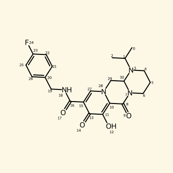 CC(C)N1CCCN2C(=O)c3c(O)c(=O)c(C(=O)NCc4ccc(F)cc4)cn3CC21